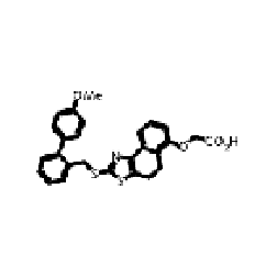 COc1ccc(-c2ccccc2CSc2nc3c(s2)CCc2c(OCC(=O)O)cccc2-3)cc1